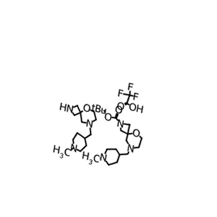 CN1CCC(CN2CCOC3(C2)CN(C(=O)OC(C)(C)C)C3)CC1.CN1CCC(CN2CCOC3(CNC3)C2)CC1.O=C(O)C(F)(F)F